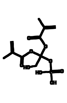 C=C(C)C(=O)OC(CO)(OC(=O)C(=C)C)OP(=O)(O)O